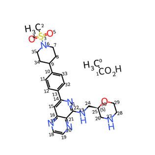 CC(=O)O.CS(=O)(=O)N1CCC(c2ccc(-c3cc4nccnc4c(NC[C@@H]4CNCCO4)n3)cc2)CC1